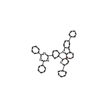 c1ccc(-c2ccc3c(c2)c2ccccc2n3-c2ccc(-c3nc(-c4ccccc4)nc(-c4ccccc4)n3)cc2-c2cccc(-c3ccccc3)n2)cc1